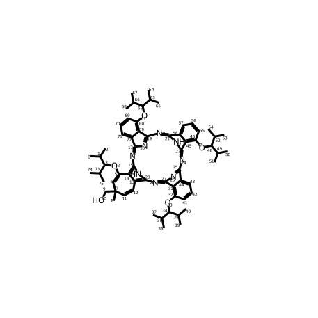 CC(C)C(OC1=CC(C)(CO)C=Cc2c1c1nc3nc(nc4[nH]c(nc5nc(nc2[nH]1)-c1c(OC(C(C)C)C(C)C)cccc1-5)c1c(OC(C(C)C)C(C)C)cccc41)-c1c(OC(C(C)C)C(C)C)cccc1-3)C(C)C